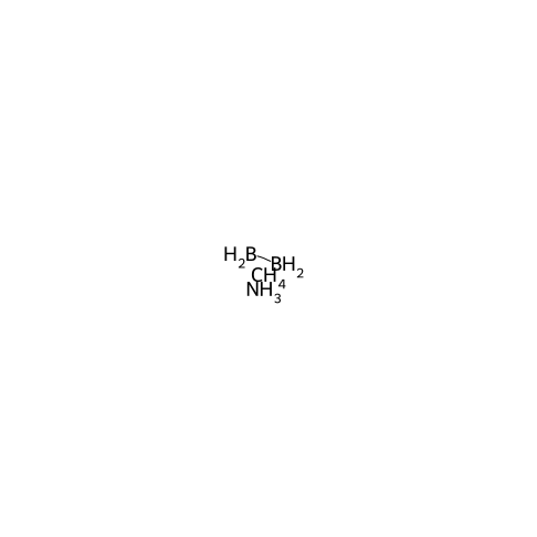 BB.C.N